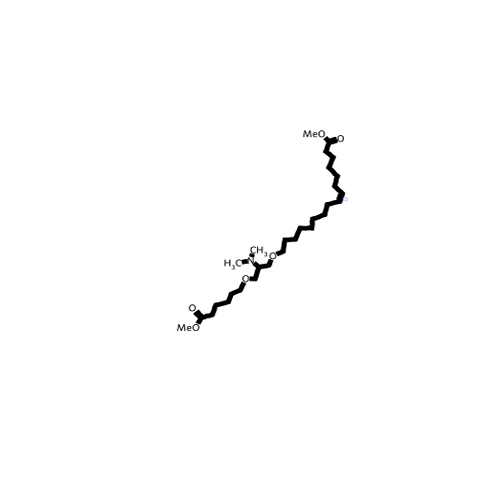 COC(=O)CCCCC/C=C\CCCCCCCCOCC(COCCCCCC(=O)OC)N(C)C